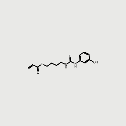 C=CC(=O)OCCCCNC(=O)Nc1cccc(O)c1